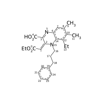 CCOC(=O)C=C1C(C(=O)O)=Nc2cc(C)c(C)c(CC)c2N1CCCc1ccccc1